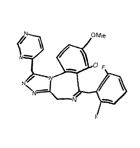 COc1ccc2c(c1Cl)C(c1c(F)cccc1F)=NCc1nnc(-c3ccncn3)n1-2